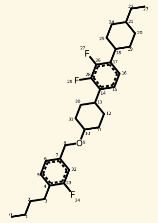 CCCCc1ccc(COC2CCC(c3ccc(C4CCC(CC)CC4)c(F)c3F)CC2)cc1F